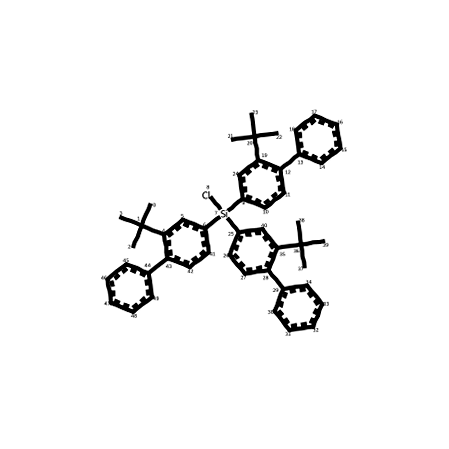 CC(C)(C)c1cc([Si](Cl)(c2ccc(-c3ccccc3)c(C(C)(C)C)c2)c2ccc(-c3ccccc3)c(C(C)(C)C)c2)ccc1-c1ccccc1